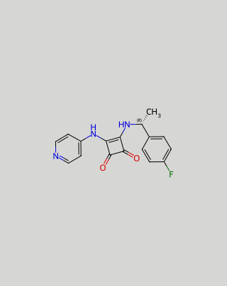 C[C@@H](Nc1c(Nc2ccncc2)c(=O)c1=O)c1ccc(F)cc1